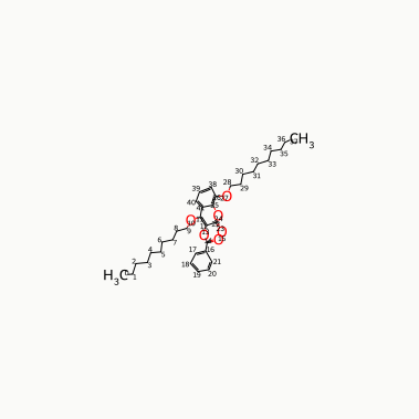 CCCCCCCCCCOc1c(OC(=O)c2ccccc2)c(=O)oc2c(OCCCCCCCCCC)cccc12